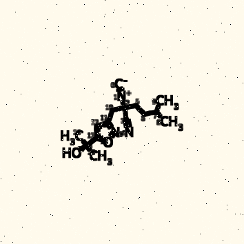 [C-]#[N+]C(C#N)(CCC(C)C)Cc1cc(C(C)(C)O)on1